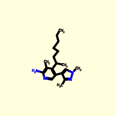 CCCCCCC(C)c1c(-c2cn(C)nc2C)cnc(N)c1C